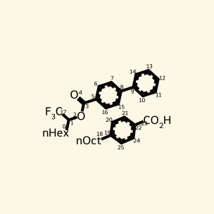 CCCCCCC(OC(=O)c1ccc(-c2ccccc2)cc1)C(F)(F)F.CCCCCCCCc1ccc(C(=O)O)cc1